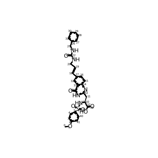 COc1ccc(S(=O)(=O)N[C@@H](Cc2nc3ccc(C=CCNC(=O)NCc4ccccc4)cc3c(=O)[nH]2)C(=O)O)cc1